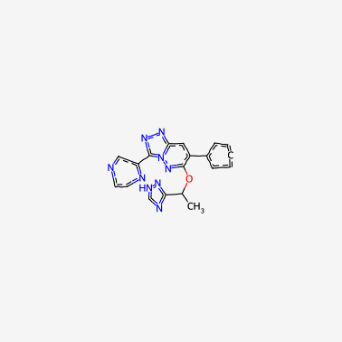 CC(Oc1nn2c(-c3cnccn3)nnc2cc1-c1ccccc1)c1nc[nH]n1